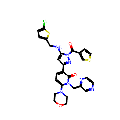 O=C(c1ccsc1)n1nc(-c2ccc(N3CCOCC3)n(Cc3cnccn3)c2=O)cc1NCc1ccc(Cl)s1